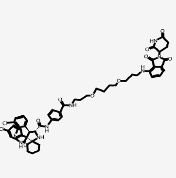 O=C1CCC(N2C(=O)c3cccc(NCCCOCCCCOCCCNC(=O)c4ccc(NC(=O)[C@@H]5NC6(CCCCC6)[C@@]6(C(=O)Nc7cc(Cl)ccc76)[C@H]5c5cccc(Cl)c5F)cc4)c3C2=O)C(=O)N1